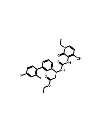 CCOC(=O)C[C@H](NC(=O)Nc1c(O)ccn(CC)c1=O)c1cccc(-c2ccc(F)cc2F)c1